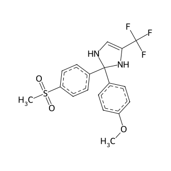 COc1ccc(C2(c3ccc(S(C)(=O)=O)cc3)NC=C(C(F)(F)F)N2)cc1